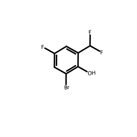 Oc1c(Br)cc(F)cc1C(F)F